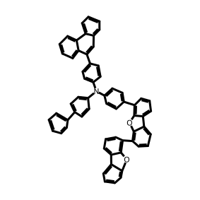 c1ccc(-c2ccc(N(c3ccc(-c4cc5ccccc5c5ccccc45)cc3)c3ccc(-c4cccc5c4oc4c(-c6cccc7c6oc6ccccc67)cccc45)cc3)cc2)cc1